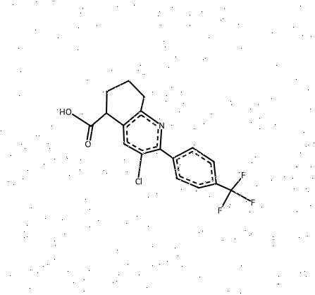 O=C(O)C1CCCc2nc(-c3ccc(C(F)(F)F)cc3)c(Cl)cc21